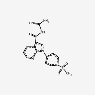 CS(=O)(=O)c1ccc(-n2cc(C(=O)NC(=N)N)c3cccnc32)cc1